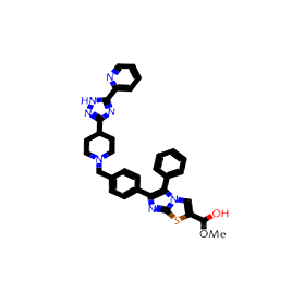 COC(O)c1cn2c(-c3ccccc3)c(-c3ccc(CN4CCC(c5n[nH]c(-c6ccccn6)n5)CC4)cc3)nc2s1